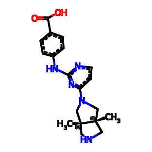 C[C@@]12CNC[C@]1(C)CN(c1ccnc(Nc3ccc(C(=O)O)cc3)n1)C2